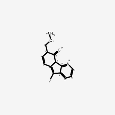 COCC1C=CC2=C(I)c3cccnc3C2C1=O